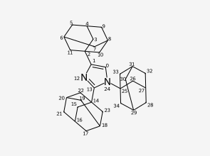 c1c(C23CC4CC(CC(C4)C2)C3)nc(C23CC4CC(CC(C4)C2)C3)n1C12CC3CC(CC(C3)C1)C2